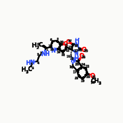 C=C(NCCNC)c1ccc2oc([C@]3(CN4Cc5ccc(OC)cc5C4=O)NC(=O)NC3=O)cc2n1